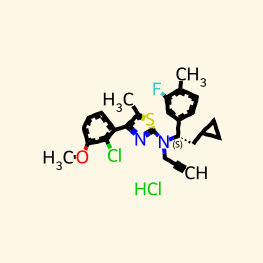 C#CCN(c1nc(-c2cccc(OC)c2Cl)c(C)s1)[C@@H](CC1CC1)c1ccc(C)c(F)c1.Cl